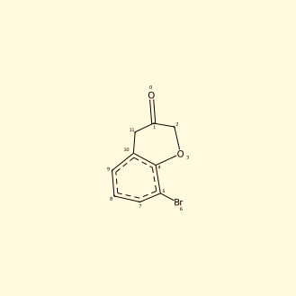 O=C1COc2c(Br)cccc2C1